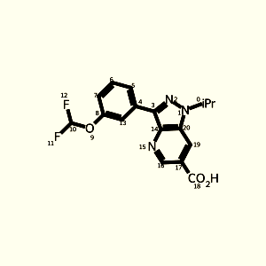 CC(C)n1nc(-c2cccc(OC(F)F)c2)c2ncc(C(=O)O)cc21